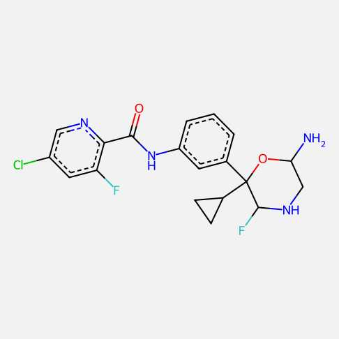 NC1CNC(F)C(c2cccc(NC(=O)c3ncc(Cl)cc3F)c2)(C2CC2)O1